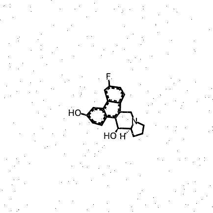 Oc1ccc2c3c(c4ccc(F)cc4c2c1)CN1CCC[C@H]1[C@H]3O